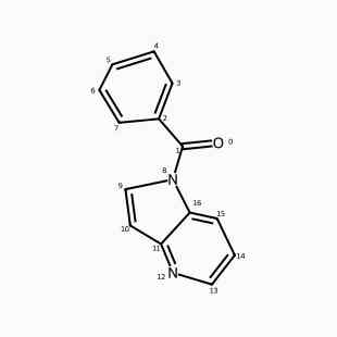 O=C(c1ccccc1)n1ccc2ncccc21